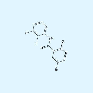 O=C(Nc1cccc(F)c1F)c1cc(Br)cnc1Cl